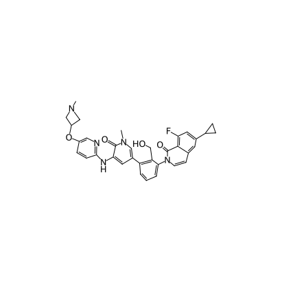 CN1CC(Oc2ccc(Nc3cc(-c4cccc(-n5ccc6cc(C7CC7)cc(F)c6c5=O)c4CO)cn(C)c3=O)nc2)C1